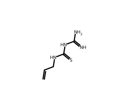 C=CCNC(=S)NC(=N)N